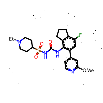 CCN1CCC(S(=O)(=O)NC(=O)Nc2c(-c3ccnc(OC)c3)cc(F)c3c2CCC3)CC1